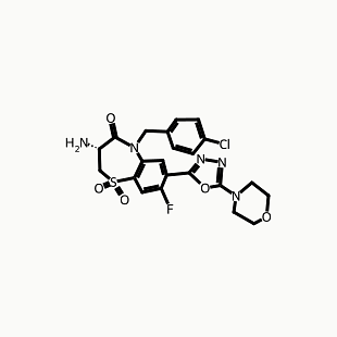 N[C@H]1CS(=O)(=O)c2cc(F)c(-c3nnc(N4CCOCC4)o3)cc2N(Cc2ccc(Cl)cc2)C1=O